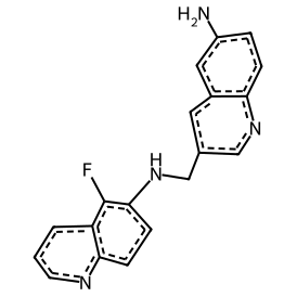 Nc1ccc2ncc(CNc3ccc4ncccc4c3F)cc2c1